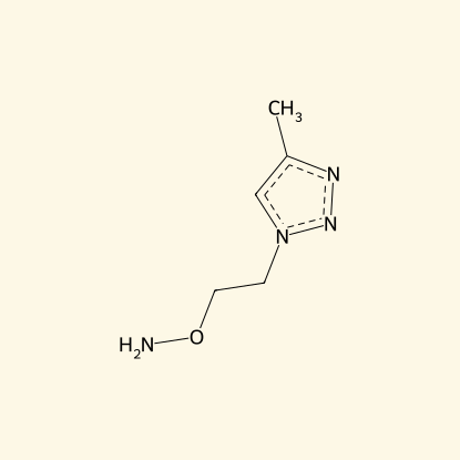 Cc1cn(CCON)nn1